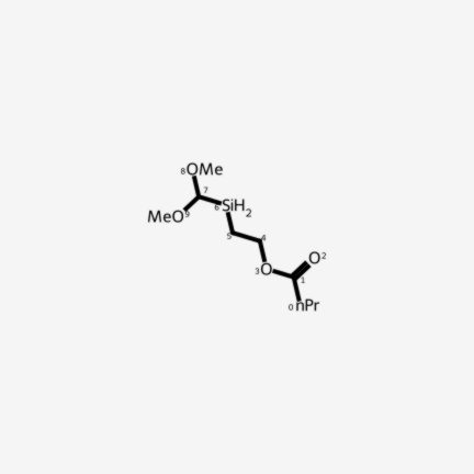 CCCC(=O)OCC[SiH2]C(OC)OC